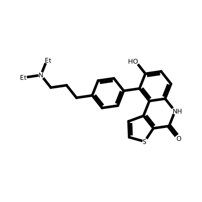 CCN(CC)CCCc1ccc(-c2c(O)ccc3[nH]c(=O)c4sccc4c23)cc1